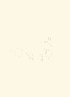 C[C@H](Nc1ncc(F)c(N2C(=O)N(C)C[C@@H]2C2CC2)n1)c1cn(-c2ccc(Cl)cc2)cn1